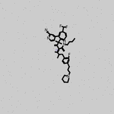 C=C(NCCCC)/C(C(=C)C(C)(C)C1=CC=CC(C(F)F)C=C1c1ccnc(C#N)c1)=C(/C)C(C)Cc1ccc(CCCN2CCCCC2)cc1F